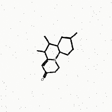 CC1CCC2C(C1)C(C)C(C)C1=CC(=O)CCN12